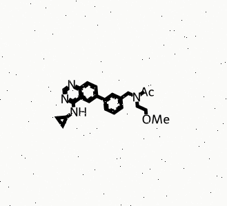 COCCN(Cc1cccc(-c2ccc3ncnc(NC4CC4)c3c2)c1)C(C)=O